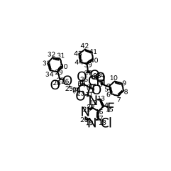 C[C@]1(OC(=O)c2ccccc2)C(n2cc(F)c3c(Cl)ncnc32)O[C@H](COC(=O)c2ccccc2)[C@H]1OC(=O)c1ccccc1